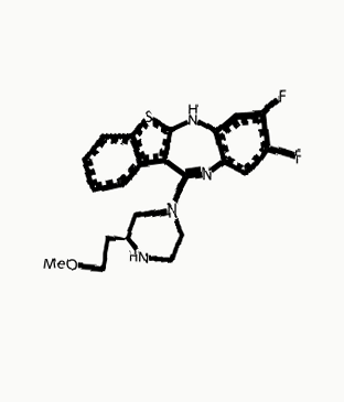 COCC[C@H]1CN(C2=Nc3cc(F)c(F)cc3Nc3sc4ccccc4c32)CCN1